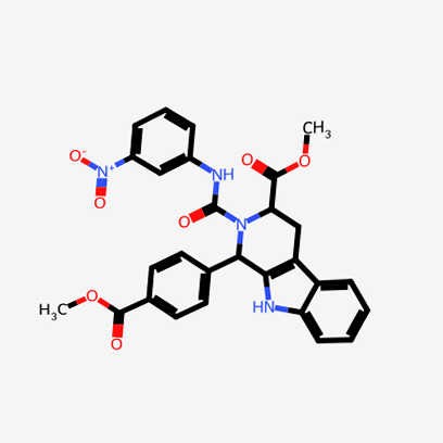 COC(=O)c1ccc(C2c3[nH]c4ccccc4c3CC(C(=O)OC)N2C(=O)Nc2cccc([N+](=O)[O-])c2)cc1